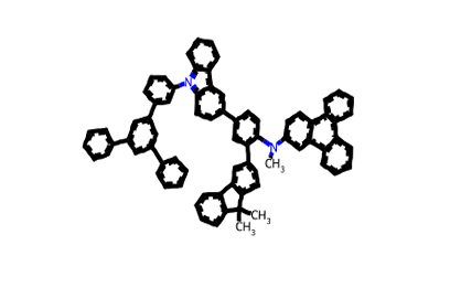 CN(c1ccc2c3ccccc3c3ccccc3c2c1)c1ccc(-c2ccc3c(c2)c2ccccc2n3-c2cccc(-c3cc(-c4ccccc4)cc(-c4ccccc4)c3)c2)cc1-c1ccc2c(c1)-c1ccccc1C2(C)C